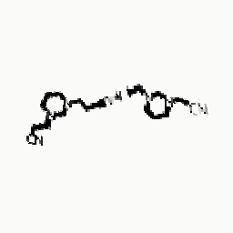 N#CCCN1CCCN(CCC#[N+][N+]#CCN2CCCN(CC#N)C2)C1